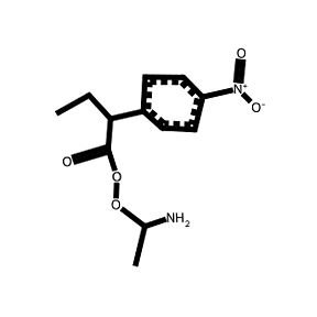 CCC(C(=O)OOC(C)N)c1ccc([N+](=O)[O-])cc1